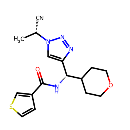 C[C@H](C#N)n1cc([C@@H](NC(=O)c2ccsc2)C2CCOCC2)nn1